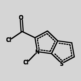 O=C(Cl)c1cc2ccsc2n1Cl